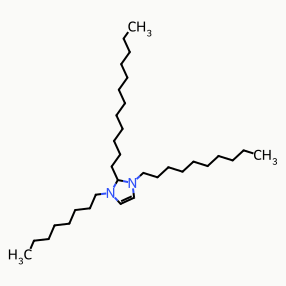 CCCCCCCCCCCCC1N(CCCCCCCC)C=CN1CCCCCCCCCC